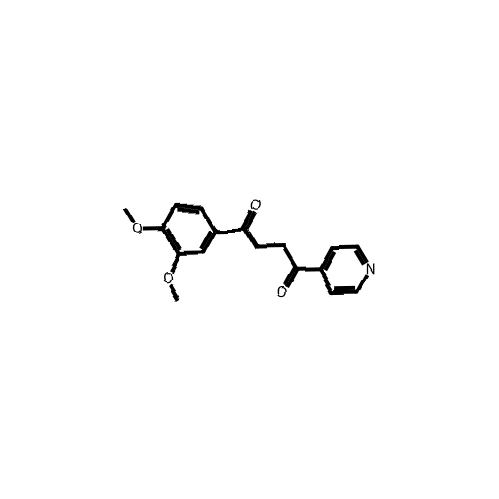 COc1ccc(C(=O)CCC(=O)c2ccncc2)cc1OC